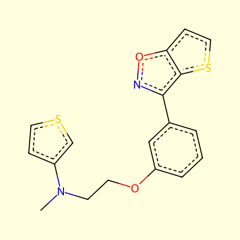 CN(CCOc1cccc(-c2noc3ccsc23)c1)c1ccsc1